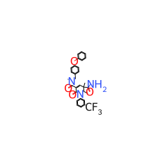 CC1N(c2cccc(C(F)(F)F)c2)C(=O)C(C(=O)N(C)Cc2ccc(Oc3ccccc3)cc2)=CC1(C)C(N)=O